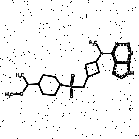 COC(C)C1CCN(S(=O)(=O)CC2CC(N(C)c3ncnc4[nH]ccc34)C2)CC1